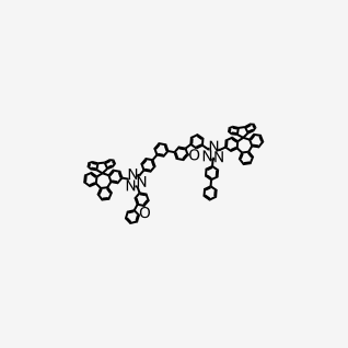 c1ccc(-c2ccc(-c3nc(-c4ccc5c(c4)-c4ccccc4-c4ccccc4C54c5ccccc5-c5ccccc54)nc(-c4cccc5c4oc4ccc(-c6cccc(-c7ccc(-c8nc(-c9ccc%10c(c9)-c9ccccc9-c9ccccc9C%109c%10ccccc%10-c%10ccccc%109)nc(-c9ccc%10oc%11ccccc%11c%10c9)n8)cc7)c6)cc45)n3)cc2)cc1